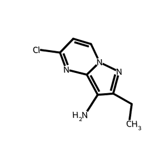 CCc1nn2ccc(Cl)nc2c1N